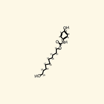 O=C(Nc1ccc(O)cc1)OCCCCCCCCCCO